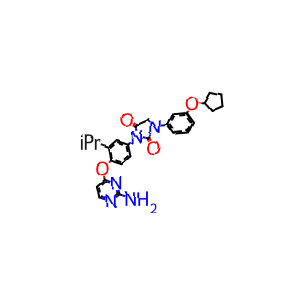 CC(C)c1cc(N2C(=O)CN(c3cccc(OC4CCCC4)c3)C2=O)ccc1Oc1ccnc(N)n1